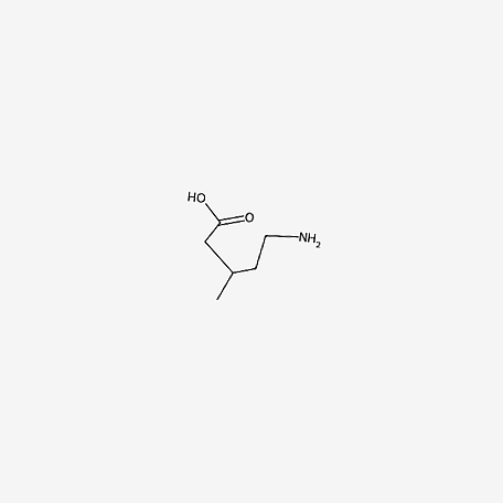 CC(CCN)CC(=O)O